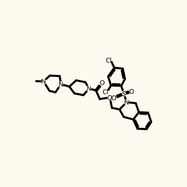 CN1CCN(C2CCN(C(=O)COCC3Cc4ccccc4CN3S(=O)(=O)c3ccc(Cl)cc3Cl)CC2)CC1